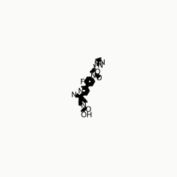 N#CC1(c2ccc(-c3ccc(N4C[C@H](Cn5ccnn5)OC4=O)cc3F)cn2)C2CN(C(=O)CO)CC21